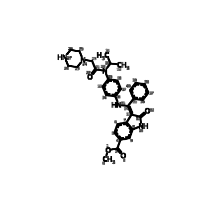 COC(=O)c1ccc2c(c1)NC(=O)C2=C(Nc1ccc(N(C(=O)CN2CCNCC2)C(C)C)cc1)c1ccccc1